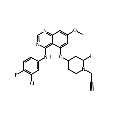 C#CCN1CCC(Oc2cc(OC)cc3ncnc(Nc4ccc(F)c(Cl)c4)c23)CC1I